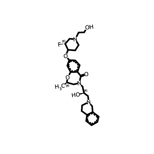 C[C@@H]1CN(C[C@H](O)CN2CCc3ccccc3C2)C(=O)c2ccc(OC3CCN(CCO)C[C@H]3F)cc2O1